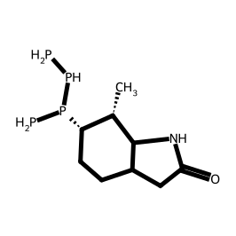 C[C@@H]1C2NC(=O)CC2CC[C@@H]1P(P)PP